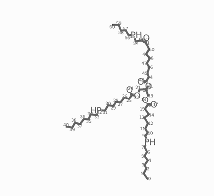 CCCCCCCCPCCCCCCCC(=O)OCC(COC(=O)CCCCCCCPCCCCCCCC)OC(=O)CCCCCCCC1OC1CPCCCCC